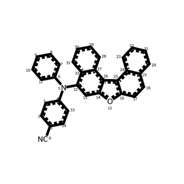 N#Cc1ccc(N(c2ccccc2)c2cc3oc4ccc5ccccc5c4c3c3ccccc23)cc1